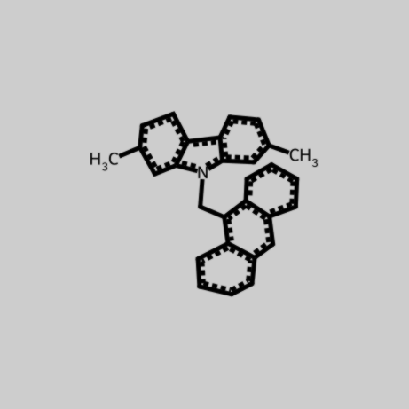 Cc1ccc2c3ccc(C)cc3n(Cc3c4ccccc4cc4ccccc34)c2c1